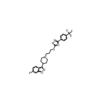 Fc1ccc2c(C3CCN(CCCSc4nnc(-c5ccc(C(F)(F)F)cc5)o4)CC3)noc2c1